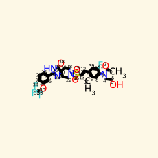 CC(=O)N(CCO)c1cc(C)c(C=CS(=O)(=O)N2CCC3(CC2)N=C(c2cccc(OC(F)(F)F)c2)NC3=O)cc1F